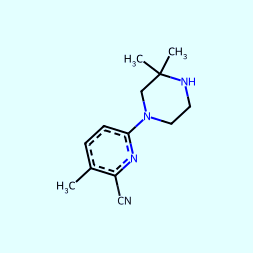 Cc1ccc(N2CCNC(C)(C)C2)nc1C#N